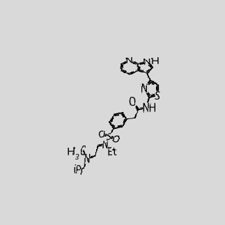 CCN(CCN(C)C(C)C)S(=O)(=O)c1cccc(CC(=O)Nc2nc(-c3c[nH]c4ncccc34)cs2)c1